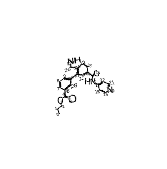 CCCOC(=O)c1cccc(-c2cc(C(=O)Nc3ccncc3)ccc2CN)c1